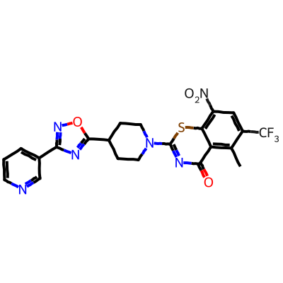 Cc1c(C(F)(F)F)cc([N+](=O)[O-])c2sc(N3CCC(c4nc(-c5cccnc5)no4)CC3)nc(=O)c12